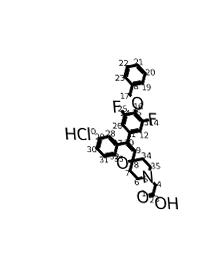 Cl.O=C(O)CN1CCC2(C=C(c3cc(F)c(OCc4ccccc4)c(F)c3)c3ccccc3O2)CC1